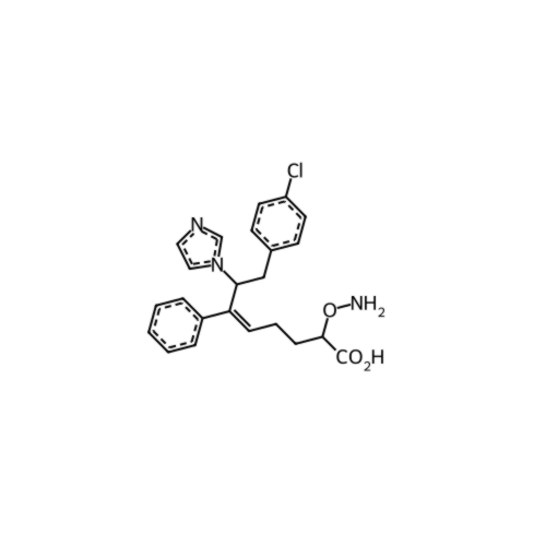 NOC(CCC=C(c1ccccc1)C(Cc1ccc(Cl)cc1)n1ccnc1)C(=O)O